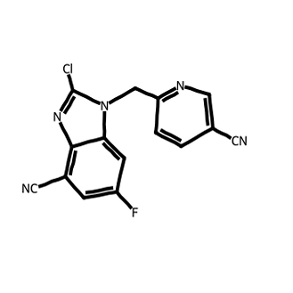 N#Cc1ccc(Cn2c(Cl)nc3c(C#N)cc(F)cc32)nc1